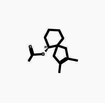 CC(=O)O[C@@H]1CCCCC12CC(C)=C(C)C2